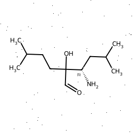 CC(C)CCC(O)(C=O)[C@@H](N)CC(C)C